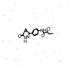 CCC(Cl)C(=O)Nc1ccc(C2=NNC(=O)C3CC23)cc1